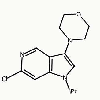 CC(C)n1cc(N2CCOCC2)c2cnc(Cl)cc21